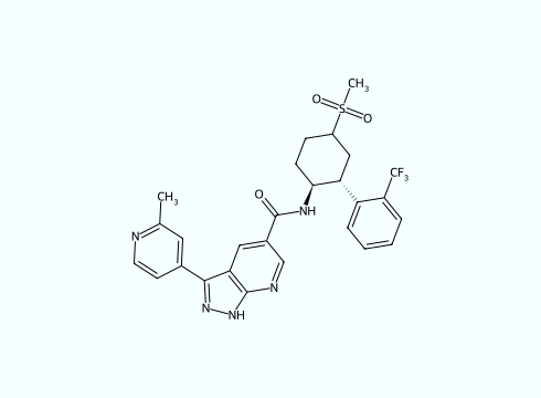 Cc1cc(-c2n[nH]c3ncc(C(=O)N[C@H]4CCC(S(C)(=O)=O)C[C@@H]4c4ccccc4C(F)(F)F)cc23)ccn1